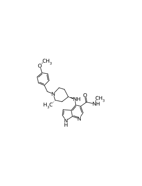 CNC(=O)c1cnc2[nH]ccc2c1N[C@@H]1CCN(Cc2ccc(OC)cc2)[C@@H](C)C1